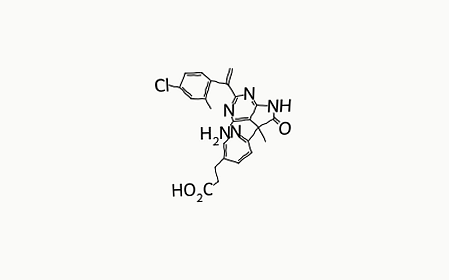 C=C(c1nc(N)c2c(n1)NC(=O)C2(C)c1ccc(CCC(=O)O)cn1)c1ccc(Cl)cc1C